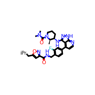 CC(C)Cc1cc(C(=O)NCc2ccc(-c3ccnc4[nH]nc(N[C@@H]5CCCN(C(=O)N(C)C)[C@@H]5C)c34)cc2F)no1